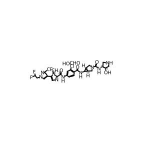 Cn1c(-c2cn(CC(F)F)nc2C(F)(F)F)cnc1C(=O)Nc1ccc(C(=O)NC2[C@H]3CN(C(=O)N[C@@H]4CNC[C@H]4O)C[C@@H]23)c(Cl)c1.O=CO